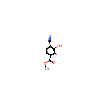 COC(=O)c1ccc(C#N)c(O)c1Cl